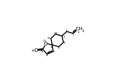 C=CCC1CCC2(C=CC(=O)O2)CC1